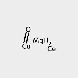 [Ce].[MgH2].[O]=[Cu]